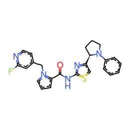 O=C(Nc1nc([C@H]2CCCN2c2ccccc2)cs1)c1cccn1Cc1ccnc(F)c1